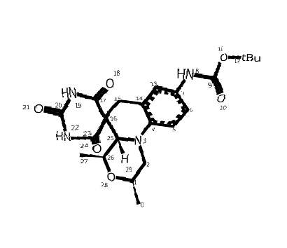 C[C@@H]1CN2c3ccc(NC(=O)OC(C)(C)C)cc3CC3(C(=O)NC(=O)NC3=O)[C@H]2[C@H](C)O1